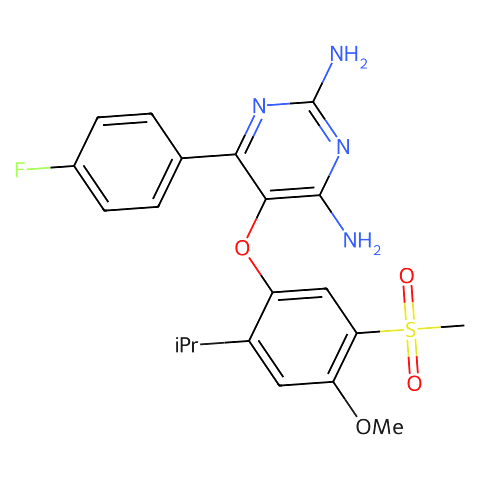 COc1cc(C(C)C)c(Oc2c(N)nc(N)nc2-c2ccc(F)cc2)cc1S(C)(=O)=O